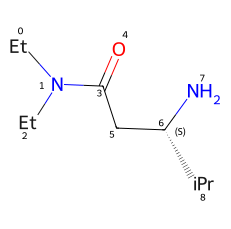 CCN(CC)C(=O)C[C@H](N)C(C)C